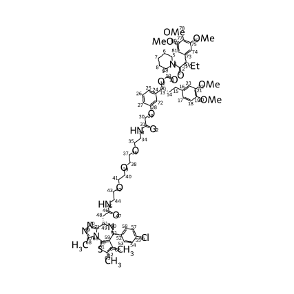 CC[C@H](C(=O)N1CCCC[C@H]1C(=O)O[C@H](CCc1ccc(OC)c(OC)c1)c1cccc(OCC(=O)NCCOCCOCCOCCNC(=O)C[C@@H]2N=C(c3ccc(Cl)cc3)c3c(sc(C)c3C)-n3c(C)nnc32)c1)c1cc(OC)c(OC)c(OC)c1